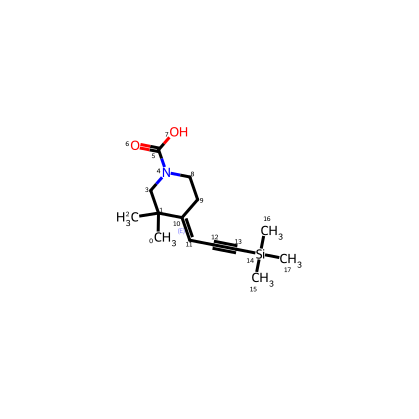 CC1(C)CN(C(=O)O)CC/C1=C\C#C[Si](C)(C)C